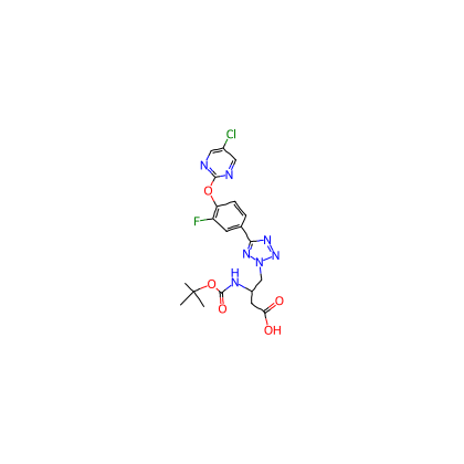 CC(C)(C)OC(=O)NC(CC(=O)O)Cn1nnc(-c2ccc(Oc3ncc(Cl)cn3)c(F)c2)n1